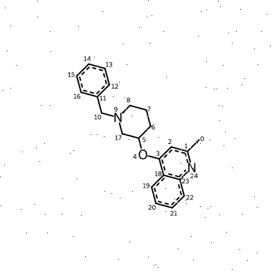 Cc1cc(OC2CCCN(Cc3ccccc3)C2)c2ccccc2n1